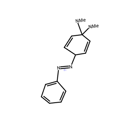 CNC1(NC)C=CC(/N=N/c2ccccc2)C=C1